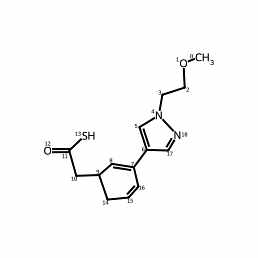 COCCn1cc(C2=CC(CC(=O)S)CC=C2)cn1